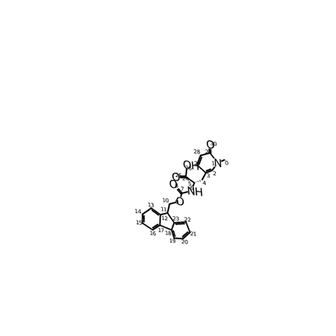 Cn1cc(C[C@H](NC(=O)OCC2c3ccccc3-c3ccccc32)C(=O)O)ccc1=O